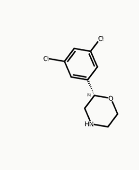 Clc1cc(Cl)cc([C@H]2CNCCO2)c1